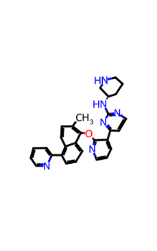 Cc1ccc2c(-c3ccccn3)cccc2c1Oc1ncccc1-c1ccnc(N[C@H]2CCCNC2)n1